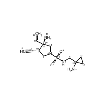 C#C[C@H]1CN(S(=O)(=O)NCC2(N)CC2)C[C@@]1(N)C=C